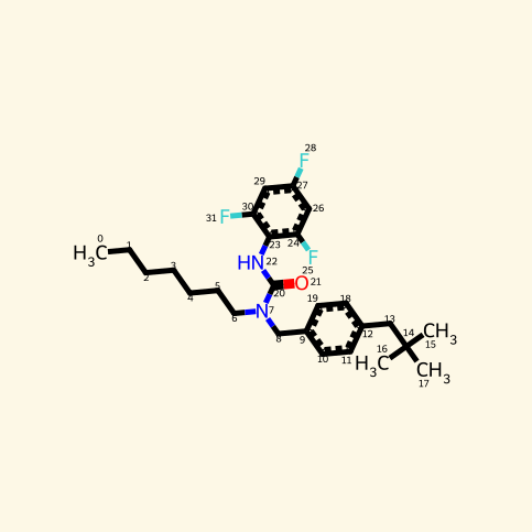 CCCCCCCN(Cc1ccc(CC(C)(C)C)cc1)C(=O)Nc1c(F)cc(F)cc1F